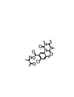 CC(=O)C(C)=NOC(=O)c1cc(-n2c(=O)n(C)c(=S)n(C)c2=O)c(F)cc1Cl